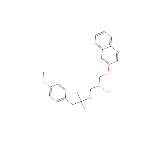 COc1ccc(CC(C)(C)NCC(O)COc2ccc3ccccc3c2)cc1